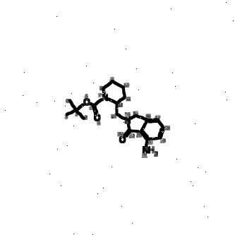 CC(C)(C)OC(=O)N1CCCCC1CN1Cc2cccc(N)c2C1=O